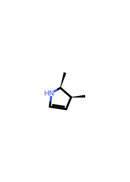 C[C@@H]1NC=C[C@@H]1C